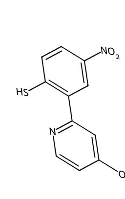 COc1ccnc(-c2cc([N+](=O)[O-])ccc2S)c1